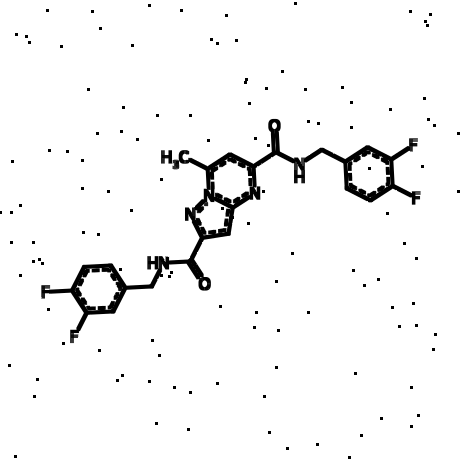 Cc1cc(C(=O)NCc2ccc(F)c(F)c2)nc2cc(C(=O)NCc3ccc(F)c(F)c3)nn12